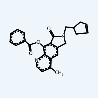 Cc1ccnc2c(OC(=O)c3ccccc3)c3c(cc12)CN(CC1CC=CC1)C3=O